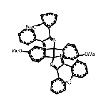 COc1ccc(C2(C3(c4ccc(OC)cc4)N=C(c4ccccc4)C(c4ccccc4OC)=N3)N=C(c3ccccc3)C(c3ccccc3OC)=N2)cc1